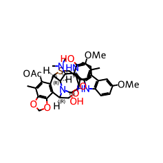 COc1ccc2[nH]c3c(c2c1)CCN[C@]31CS[C@@H]2c3c(OC(C)=O)c(C)c4c(c3[C@H](COC1=O)N1[C@@H]2[C@@H](N(C)C)c2c(cc(C)c(OC)c2O)C[C@@H]1O)OCO4